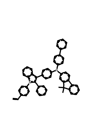 C=Cc1ccc(-n2c(-c3ccccc3)c(-c3ccc(N(c4ccc(-c5ccccc5)cc4)c4ccc5c(c4)C(C)(C)c4ccccc4-5)cc3)c3ccccc32)cc1